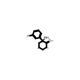 N[C@]1(c2cccc(F)c2)CCCCC1=O